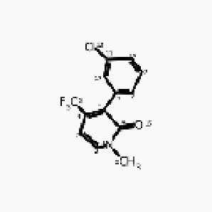 Cn1ccc(C(F)(F)F)c(-c2cccc(Cl)c2)c1=O